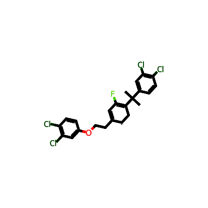 CC(C)(C1=C(F)C=C(CCOc2ccc(Cl)c(Cl)c2)[CH]C1)c1ccc(Cl)c(Cl)c1